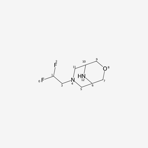 FC(F)CN1CC2COCC(C1)N2